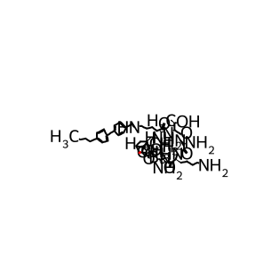 CCCCc1ccc(-c2ccc(CNCCC[C@H](N)C(=O)N[C@H](C(=O)N[C@@H](N)C(=O)N[C@@H](CCCCN)C(=O)N[C@@H](N)B3OC4C[C@@H]5C[C@@H](C5(C)C)[C@]4(C)O3)[C@@H](C)O)cc2)cc1